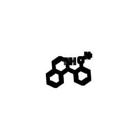 [N]Oc1ccccc1C1NC=Cc2ccccc21